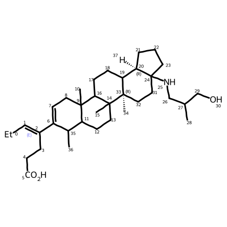 CC/C=C(\CCC(=O)O)C1=CCC2(C)C(CCC3(C)C2CCC2[C@H]4CCCC4(NCC(C)CO)CC[C@]23C)C1C